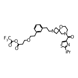 CC(C)c1nc(C(=O)N2CCOC3(CN(CCc4cccc(CCOCCC(=O)OC(=O)C(F)(F)F)c4)C3)C2)cs1